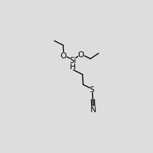 CCO[SiH](CCCSC#N)OCC